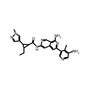 CCC1C(C(=O)Nc2cc3cc(-c4cncc(N)c4C)nc(N)c3cn2)C1c1cnn(C)c1